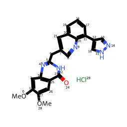 COc1cc2nc(Cc3cnc4c(-c5cn[nH]c5)cccc4c3)[nH]c(=O)c2cc1OC.Cl